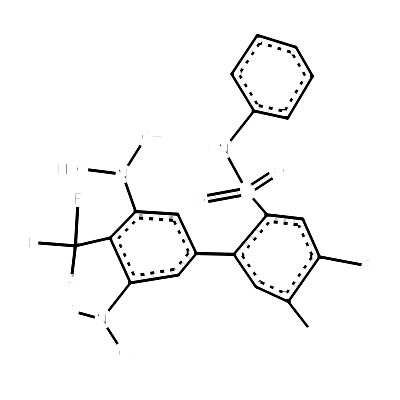 CN(C)c1cc(-c2cc(F)c(F)cc2S(=O)(=O)Nc2ccccc2)cc(N(C)C)c1C(F)(F)F